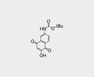 CC(C)(C)OC(=O)Nc1ccc2c(c1)C(=O)C=C(O)C2=O